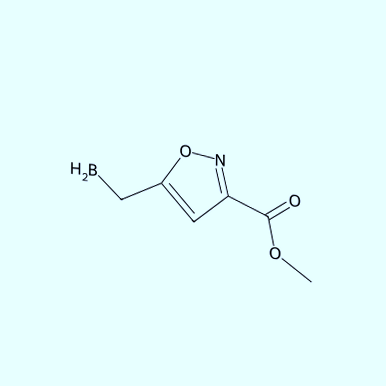 BCc1cc(C(=O)OC)no1